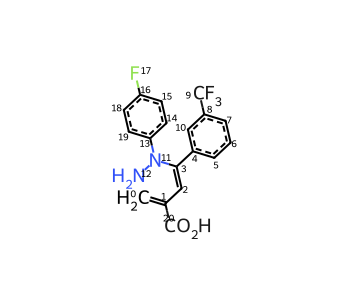 C=C(/C=C(/c1cccc(C(F)(F)F)c1)N(N)c1ccc(F)cc1)C(=O)O